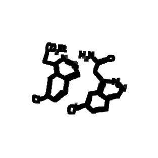 CCOC(=O)Cc1nncc2ccc(Cl)cc12.NC(=O)Cc1nncc2ccc(Cl)cc12